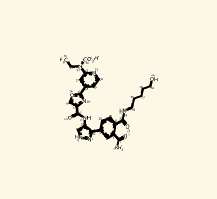 NC(=O)c1cc(-c2n[nH]cc2NC(=O)c2coc(-c3ccnc(N(CC(F)(F)F)C(=O)O)c3)n2)ccc1C(=O)NCCCCCO